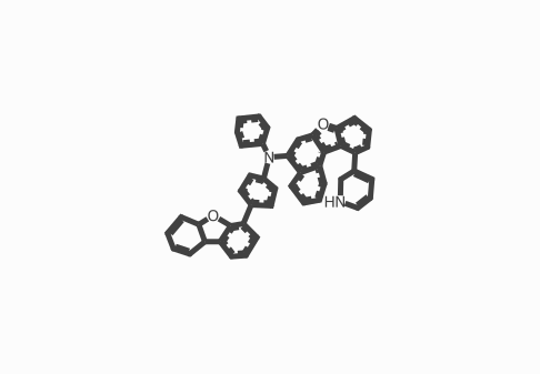 C1=CNCC(c2cccc3oc4cc(N(c5ccccc5)c5ccc(-c6cccc7c6OC6C=CC=CC76)cc5)c5ccccc5c4c23)=C1